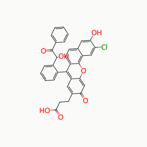 O=C(O)CCc1cc2c(-c3ccccc3C(O)C(=O)c3ccccc3)c3ccc4cc(O)c(Cl)cc4c3oc-2cc1=O